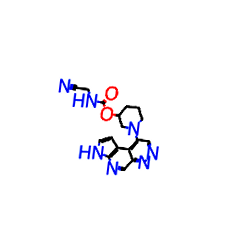 N#CCNC(=O)OC1CCCN(c2cnnc3cnc4[nH]ccc4c23)C1